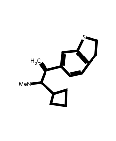 C=C(c1ccc2c(c1)SCC2)C(NC)C1CCC1